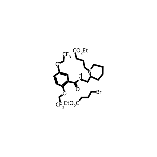 CCOC(=O)CCCBr.CCOC(=O)CCCN1CCCCC1CNC(=O)c1cc(OCC(F)(F)F)ccc1OCC(F)(F)F